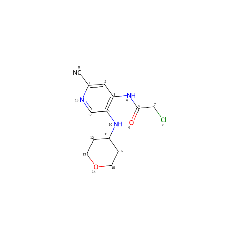 N#Cc1cc(NC(=O)CCl)c(NC2CCOCC2)cn1